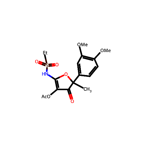 CCS(=O)(=O)NC1=C(OC(C)=O)C(=O)C(C)(c2ccc(OC)c(OC)c2)O1